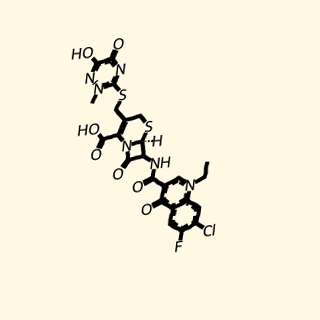 CCn1cc(C(=O)NC2C(=O)N3C(C(=O)O)=C(CSc4nc(=O)c(O)nn4C)CS[C@@H]23)c(=O)c2cc(F)c(Cl)cc21